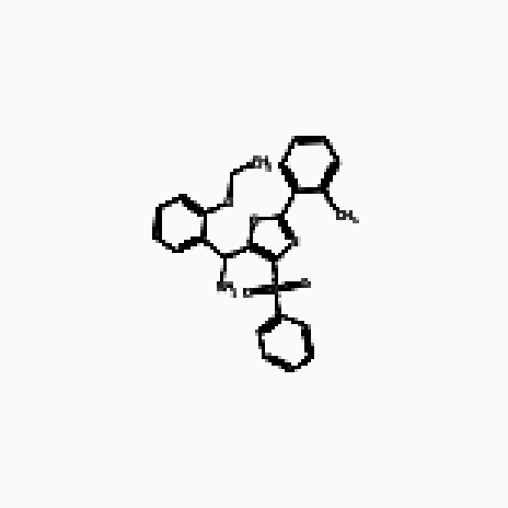 CCOc1ccccc1C(N)c1oc(-c2ccccc2C)nc1S(=O)(=O)c1ccccc1